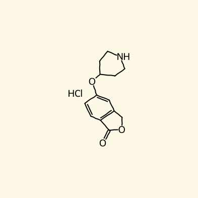 Cl.O=C1OCc2cc(OC3CCNCC3)ccc21